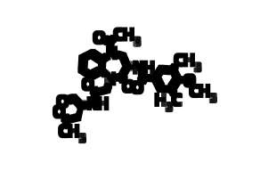 COc1c(C)cc(C(=O)N[C@H]2CN(C(C)=O)c3ccccc3N(CC(=O)N[C@H](C=O)CC(C)=O)C2=O)cc1C